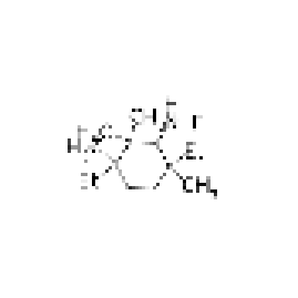 CCC1(C)CCC(C)(CC)C(C)(C)C1NF